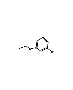 CCO[n+]1cccc(Br)c1